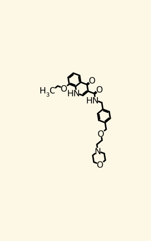 CCOc1cccc2c(=O)c(C(=O)NCc3ccc(COCCN4CCOCC4)cc3)c[nH]c12